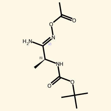 CC(=O)O/N=C(\N)[C@H](C)NC(=O)OC(C)(C)C